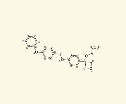 O=C(O)COC1(c2ccc(OCc3ccc(Oc4ccccc4)cc3)cc2)COC1